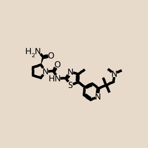 Cc1nc(NC(=O)N2CCC[C@H]2C(N)=O)sc1-c1ccnc(C(C)(C)CN(C)C)c1